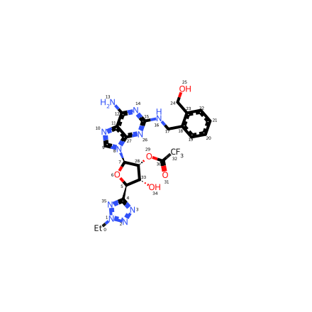 CCn1nnc([C@H]2O[C@@H](n3cnc4c(N)nc(NCc5ccccc5CO)nc43)[C@H](OC(=O)C(F)(F)F)[C@@H]2O)n1